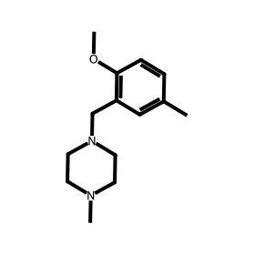 COc1ccc(C)cc1CN1CCN(C)CC1